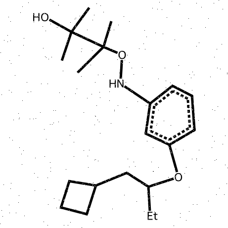 CCC(CC1CCC1)Oc1cccc(NOC(C)(C)C(C)(C)O)c1